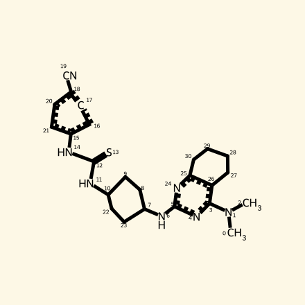 CN(C)c1nc(NC2CCC(NC(=S)Nc3ccc(C#N)cc3)CC2)nc2c1CCCC2